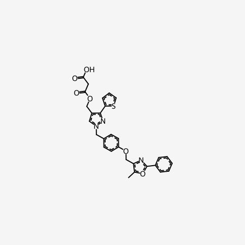 Cc1oc(-c2ccccc2)nc1COc1ccc(Cn2cc(COC(=O)CC(=O)O)c(-c3cccs3)n2)cc1